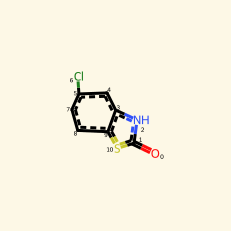 O=c1[nH]c2cc(Cl)ccc2s1